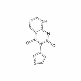 O=c1nc2[nH]cccc-2c(=O)n1-c1ccsc1